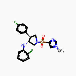 Cn1cnc(S(=O)(=O)N2C[C@H](Nc3ccccc3F)[C@@H](c3ccc(F)cc3)C2)c1